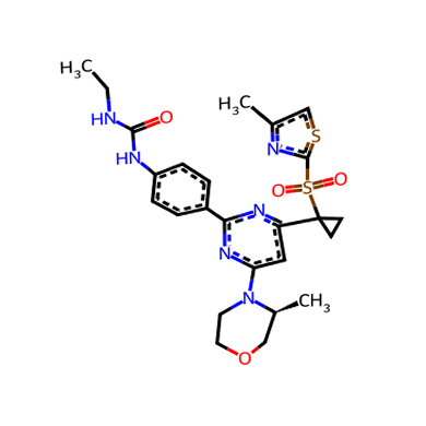 CCNC(=O)Nc1ccc(-c2nc(N3CCOC[C@@H]3C)cc(C3(S(=O)(=O)c4nc(C)cs4)CC3)n2)cc1